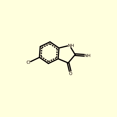 N=C1Nc2ccc(Cl)cc2C1=O